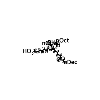 CCCCCCCCCCCOC(=O)CCCCCN(CCO)CCCCCCCC(=O)O.[2H]C(CCCCCCCC)CCCCCCCC